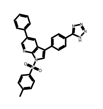 Cc1ccc(S(=O)(=O)n2cc(-c3ccc(-c4nnn[nH]4)cc3)c3cc(-c4ccccc4)cnc32)cc1